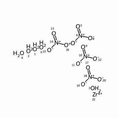 O.O.O.O.O.O=[N+]([O-])[O-].O=[N+]([O-])[O-].O=[N+]([O-])[O-].O=[N+]([O-])[O-].[Zr+4]